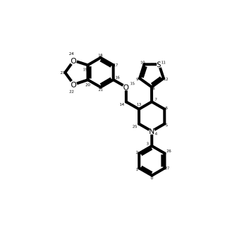 c1ccc(N2CCC(c3ccsc3)C(COc3ccc4c(c3)OCO4)C2)cc1